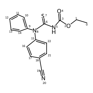 CCOC(=O)NC(=S)N(c1ccccc1)c1ccc(C#N)cc1